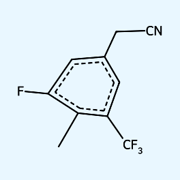 Cc1c(F)cc(CC#N)cc1C(F)(F)F